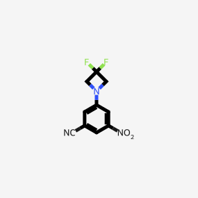 N#Cc1cc(N2CC(F)(F)C2)cc([N+](=O)[O-])c1